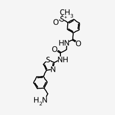 C[S+]([O-])c1cccc(C(=O)NCC(=O)Nc2nc(-c3cccc(CN)c3)cs2)c1